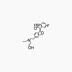 CCCN(CCO)CCc1ccc2c(c1)CO/C2=C1/C(=O)Nc2ccc(F)cc21